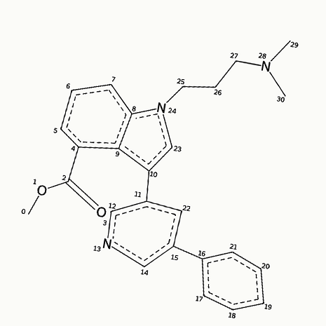 COC(=O)c1cccc2c1c(-c1cncc(-c3ccccc3)c1)cn2CCCN(C)C